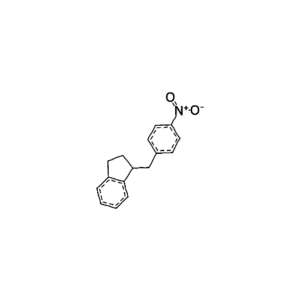 O=[N+]([O-])c1ccc(CC2CCc3ccccc32)cc1